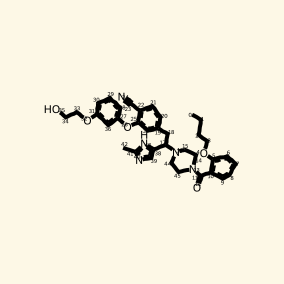 CCCCOc1ccccc1C(=O)N1CCN(C(Cc2ccc(C#N)c(Oc3cccc(OCCO)c3)c2)c2cnc(C)[nH]2)CC1